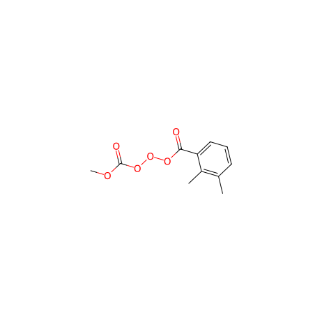 COC(=O)OOOC(=O)c1cccc(C)c1C